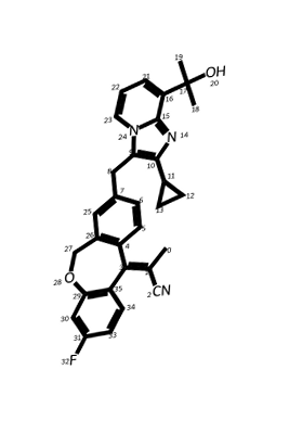 CC(C#N)=C1c2ccc(Cc3c(C4CC4)nc4c(C(C)(C)O)cccn34)cc2COc2cc(F)ccc21